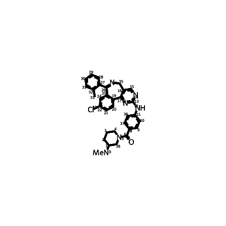 CNC1CCCN(C(=O)c2ccc(Nc3ncc4c(n3)-c3ccc(Cl)cc3C(c3ccccc3C)=NC4)cc2)C1